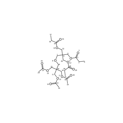 CCC(=O)OCC(COCC(COC(C)=O)(COC(C)=O)COC(C)=O)(COC(=O)CC)COC(=O)CC